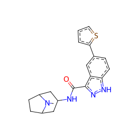 CN1C2CCC1CC(NC(=O)c1n[nH]c3ccc(-c4cccs4)cc13)C2